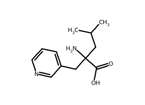 CC(C)CC(N)(Cc1cccnc1)C(=O)O